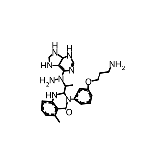 Cc1cccc2c1C(=O)N(c1cccc(OCCCN)c1)C(C(C)N(N)C1=C3NCNC3NC=N1)N2